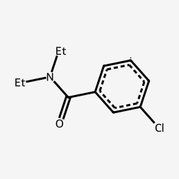 CCN(CC)C(=O)c1c[c]cc(Cl)c1